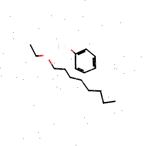 CCCCCCCCOCC.Oc1ccccc1